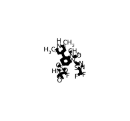 C[C@H]1C=C(c2cc(S(=O)(=O)NC3(CF)COC3)cc3c2n(C)c(=O)n3-c2nnc(C(F)F)s2)C[C@H](C)N1